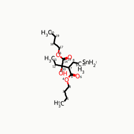 CCCCOC(=O)C(CC)C(O)(CC)C(=O)OCCCC.[SnH2]